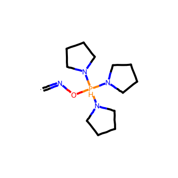 [CH]=NO[PH](N1CCCC1)(N1CCCC1)N1CCCC1